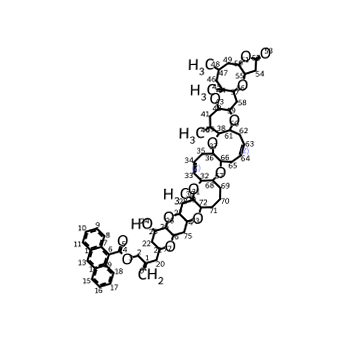 C=C(COC(=O)c1c2ccccc2cc2ccccc12)CC1CC(O)C2OC3CC4(C)OC5/C=C\CC6OC7C(C)CC8OC9(C)CC(C)CC%10OC(=O)CC%10OC9CC8OC7C/C=C\CC6OC5CCCC4OC3CC2O1